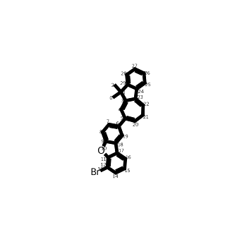 CC1(C)C2=CC(c3ccc4oc5c(Br)cccc5c4c3)=CCC=C2c2ccccc21